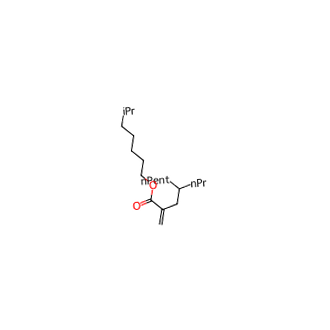 C=C(CC(CCC)CCCCC)C(=O)OCCCCCC(C)C